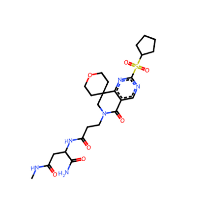 CNC(=O)CC(NC(=O)CCN1CC2(CCOCC2)c2nc(S(=O)(=O)C3CCCC3)ncc2C1=O)C(N)=O